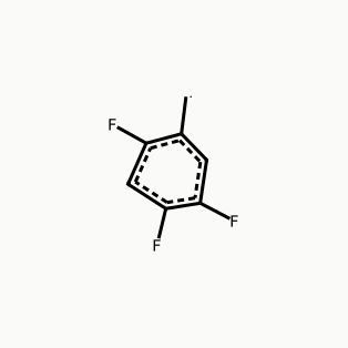 [CH2]c1cc(F)c(F)cc1F